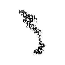 CCc1cc2c(cc1N1CCC(N3CCN(C(=O)CCCCCCSc4cccc5c4CN(C4CCC(=O)NC4=O)C5=O)CC3)CC1)C(C)(C)c1[nH]c3cc(C#N)ccc3c1C2=O